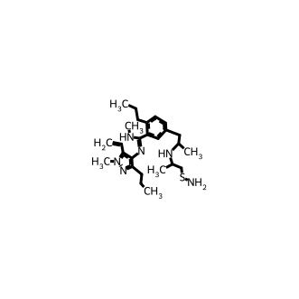 C=Cc1c(/N=C(\NC)c2cc(CC(C)NC(C)CSN)ccc2CCC)c(CCC)nn1C